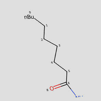 CCCCCCCCCC([NH])=O